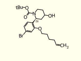 C=CCCCCOc1cc(Br)ccc1[C@@H]1CC(O)CCN1C(=O)OC(C)(C)C